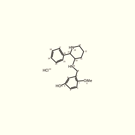 COc1ccc(O)cc1CNC1CCCNC1c1ccccc1.Cl